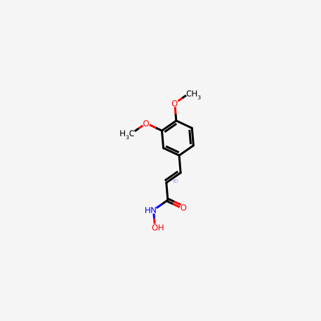 COc1ccc(/C=C/C(=O)NO)cc1OC